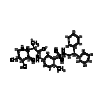 Cc1ccc(NC(=O)C(C)n2ncc(Cl)c(Cl)c2=O)cc1S(=O)(=O)NCC(c1ccccc1)c1ccccc1